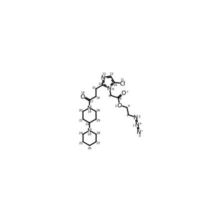 [N-]=[N+]=NCCOC(=O)Cn1c(Cl)cnc1CCC(=O)N1CCC(N2CCCCC2)CC1